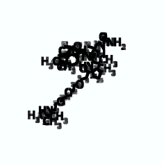 CC(C)[C@H](NC1(C(=O)CCOCCOCCOCCNC(C)(C)C)CCCC1)C(=O)N[C@@H](CCCNC(N)=O)C(=O)C12CCC[C@@H](CC1)C(C)(C)c1ccc(cc1)N2